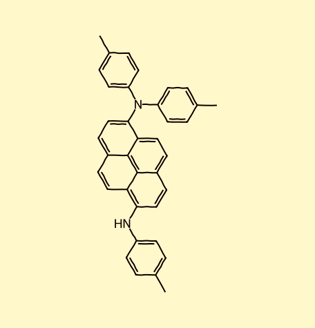 Cc1ccc(Nc2ccc3ccc4c(N(c5ccc(C)cc5)c5ccc(C)cc5)ccc5ccc2c3c54)cc1